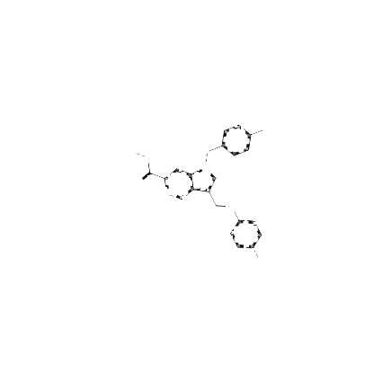 O=C(NO)c1cc2c(cn1)c(COc1ccc(F)cc1)cn2Cc1ccc(F)cc1